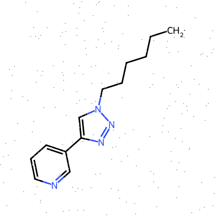 [CH2]CCCCCn1cc(-c2cccnc2)nn1